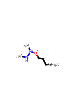 CCCCCCCCCCON(CCC)NCCC